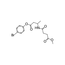 COC(=O)CCC(=O)NC(C)CC(=O)Oc1ccc(Br)cc1